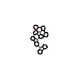 c1ccc(-c2cccc(-c3ccccc3)c2-n2c3ccccc3c3c(-n4c5ccccc5c5ccc(-n6c7ccccc7c7ccccc76)cc54)cccc32)cc1